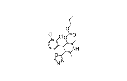 CCCOC(=O)OC1=C(C)NC(C)=C(c2nnco2)C1c1cccc(Cl)c1Cl